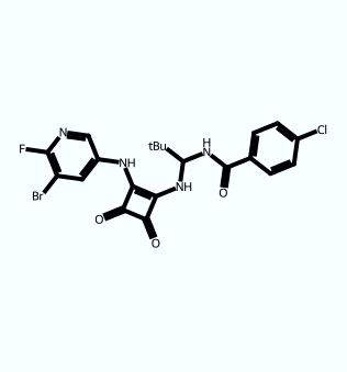 CC(C)(C)C(NC(=O)c1ccc(Cl)cc1)Nc1c(Nc2cnc(F)c(Br)c2)c(=O)c1=O